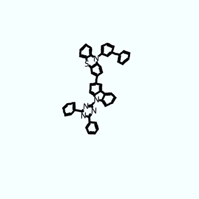 c1ccc(-c2cccc(N3c4ccccc4Sc4cc(-c5ccc6c(c5)c5ccccc5n6-c5nc(-c6ccccc6)nc(-c6ccccc6)n5)ccc43)c2)cc1